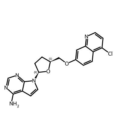 Nc1ncnc2c1ccn2[C@H]1CC[C@@H](COc2ccc3c(Cl)ccnc3c2)O1